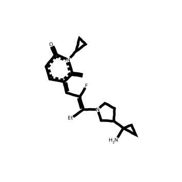 C=c1/c(=C\C(F)=C(/CC)N2CCC(C3(N)CC3)C2)ccc(=O)n1C1CC1